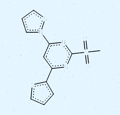 CS(=O)(=O)c1nc(-c2cccs2)cc(-n2cccn2)n1